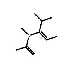 C=C(C)N(C)/C(=C/C)C(C)C